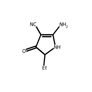 CCC1NC(N)=C(C#N)C1=O